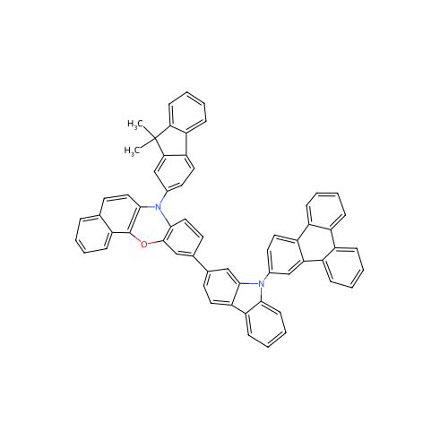 CC1(C)c2ccccc2-c2ccc(N3c4ccc(-c5ccc6c7ccccc7n(-c7ccc8c9ccccc9c9ccccc9c8c7)c6c5)cc4Oc4c3ccc3ccccc43)cc21